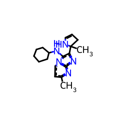 Cc1ccn2c(NC3CCCCC3)c(C3(C)CC=CN3)nc2n1